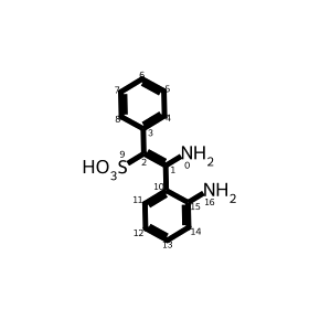 NC(=C(c1ccccc1)S(=O)(=O)O)c1ccccc1N